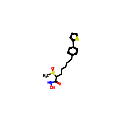 C[S+]([O-])C(CCCCCc1ccc(-c2cccs2)cc1)C(=O)NO